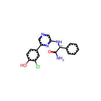 NC(=O)[C@@H](Nc1cncc(-c2ccc(O)c(Cl)c2)n1)c1ccccc1